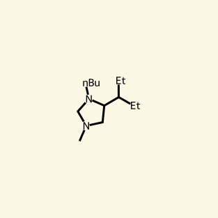 CCCCN1CN(C)CC1C(CC)CC